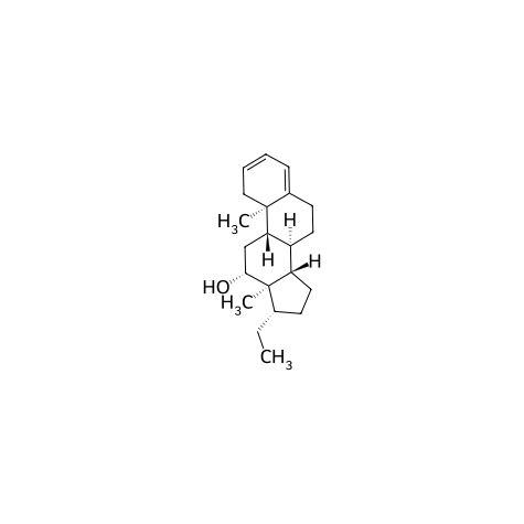 CC[C@H]1CC[C@H]2[C@@H]3CCC4=CC=CC[C@]4(C)[C@H]3C[C@@H](O)[C@]12C